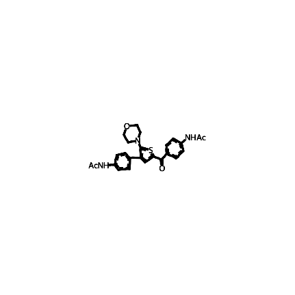 CC(=O)Nc1ccc(C(=O)c2cc(-c3ccc(NC(C)=O)cc3)c(N3CCOCC3)s2)cc1